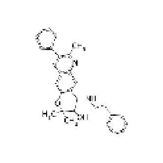 Cc1nc2cc3c(cc2nc1-c1ccccc1)OC(C)(C)[C@H](O)[C@H]3NCCc1ccccc1